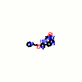 Cn1c(=O)n2c3c4c(c(-c5ccc(OCCCN6CCCCC6)nc5)ccc4ncc31)NCC2(C)C